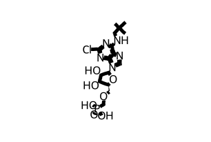 CC(C)(C)CNc1nc(Cl)nc2c1ncn2[C@@H]1O[C@H](COCP(=O)(O)O)[C@@H](O)[C@H]1O